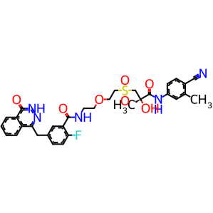 Cc1cc(NC(=O)[C@](C)(O)CS(=O)(=O)CCOCCNC(=O)c2cc(Cc3n[nH]c(=O)c4ccccc34)ccc2F)ccc1C#N